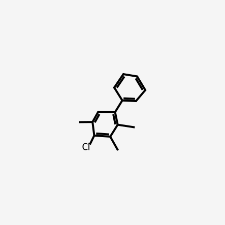 Cc1cc(-c2ccccc2)c(C)c(C)c1Cl